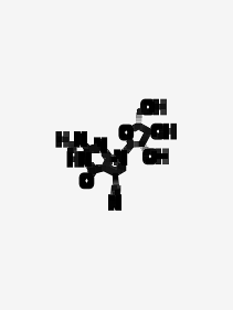 N#Cc1cn(C2O[C@H](CO)[C@@H](O)[C@@H]2O)c2nc(N)[nH]c(=O)c12